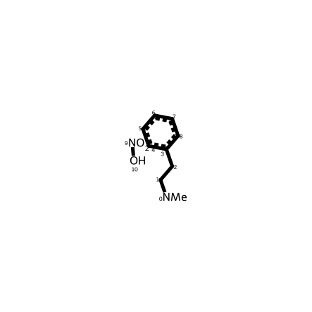 CNCCc1ccccc1.O=[N+]([O-])O